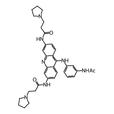 CC(=O)Nc1cccc(Nc2c3ccc(NC(=O)CCN4CCCC4)cc3nc3cc(NC(=O)CCN4CCCC4)ccc23)c1